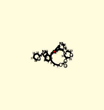 O=C1OCCCc2ccc3c(cnn3C3CCCCO3)c2-c2cc3ncnc(c3cn2)N2CCOCC(C2)O1